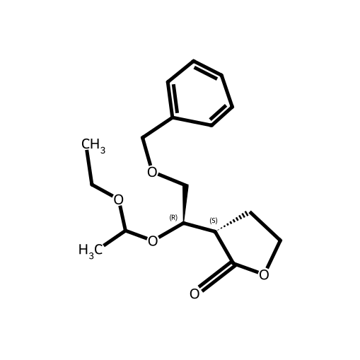 CCOC(C)O[C@@H](COCc1ccccc1)[C@@H]1CCOC1=O